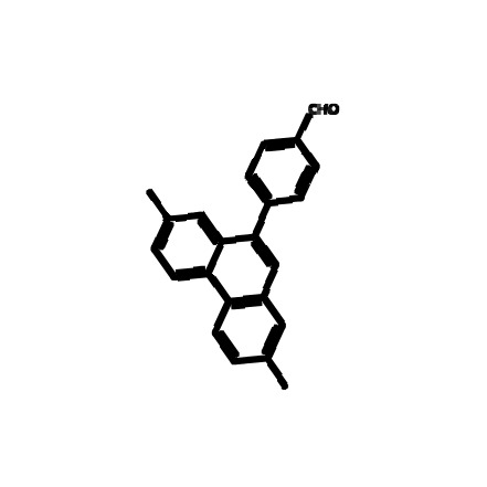 Cc1ccc2c(c1)cc(-c1ccc(C=O)cc1)c1cc(C)ccc12